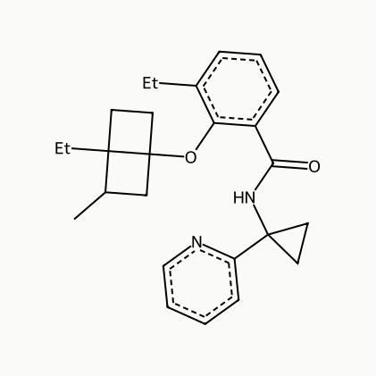 CCc1cccc(C(=O)NC2(c3ccccn3)CC2)c1OC12CCC1(CC)C(C)C2